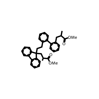 COC(=O)C(C)Cc1ccccc1-c1ccccc1CCC1(CC(C)C(=O)OC)c2ccccc2-c2ccccc21